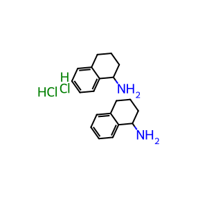 Cl.Cl.NC1CCCc2ccccc21.NC1CCCc2ccccc21